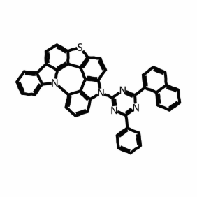 c1ccc(-c2nc(-c3cccc4ccccc34)nc(-n3c4ccc5sc6ccc7c8ccccc8n8c9cccc3c9c4c5c6c78)n2)cc1